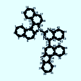 c1ccc2c(c1)ccc1c2c2c3ccccc3ccc2n1-c1nc(-c2cc3sc4ccccc4c3c3ccccc23)c2ccccc2n1